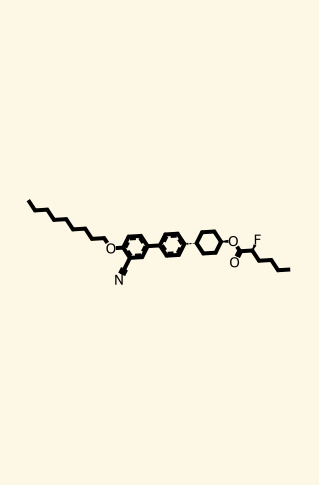 CCCCCCCCCOc1ccc(-c2ccc([C@H]3CC[C@H](OC(=O)[C@@H](F)CCCC)CC3)cc2)cc1C#N